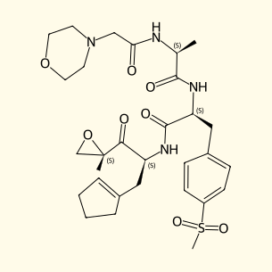 C[C@H](NC(=O)CN1CCOCC1)C(=O)N[C@@H](Cc1ccc(S(C)(=O)=O)cc1)C(=O)N[C@@H](CC1=CCCC1)C(=O)[C@]1(C)CO1